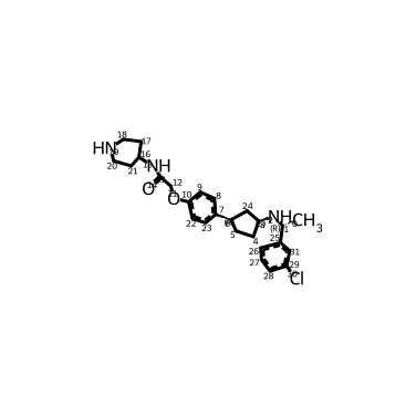 C[C@@H](N[C@H]1CC[C@@H](c2ccc(OCC(=O)NC3CCNCC3)cc2)C1)c1cccc(Cl)c1